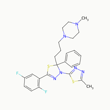 Cc1nnc(N2N=C(c3cc(F)ccc3F)SC2(CCCN2CCN(C)CC2)c2ccccc2)s1